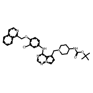 CC(C)(C)OC(=O)NC1CCN(Cc2ccn3ncnc(Nc4ccc(OCc5nccc6ccccc56)c(Cl)c4)c23)CC1